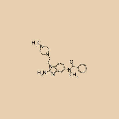 CN1CCN(CCn2c(N)nc3cc(N(C)C(=O)c4ccccc4)ccc32)CC1